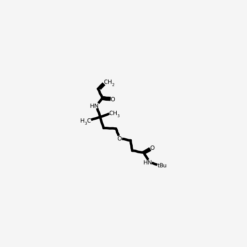 C=CC(=O)NC(C)(C)CCOCCC(=O)NC(C)(C)C